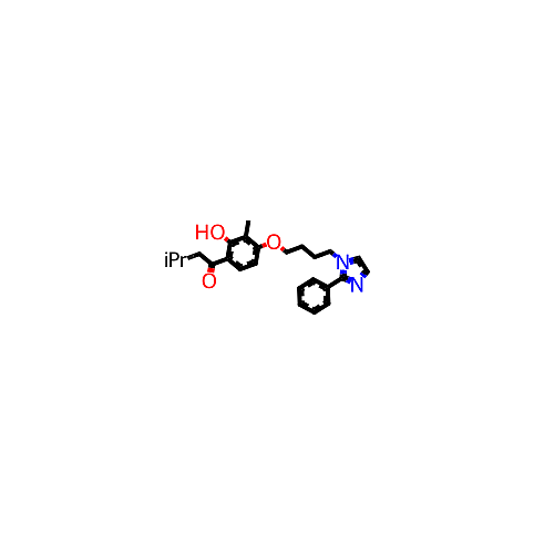 Cc1c(OCCCCn2ccnc2-c2ccccc2)ccc(C(=O)CC(C)C)c1O